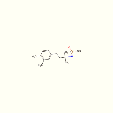 Cc1ccc(CCC(C)(C)N[S@+]([O-])C(C)(C)C)cc1C